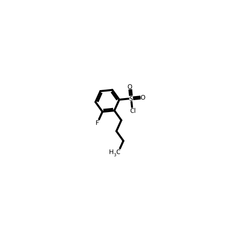 CCCCc1c(F)cccc1S(=O)(=O)Cl